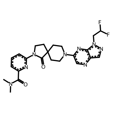 CN(C)C(=O)c1cccc(N2CCC3(CCN(c4cnc5cnn(CC(F)F)c5n4)CC3)C2=O)n1